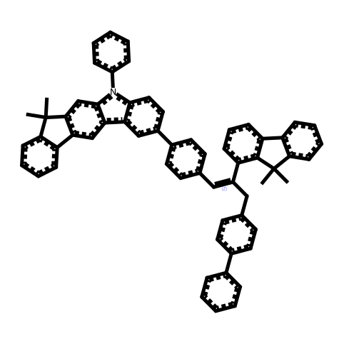 CC1(C)c2ccccc2-c2cc3c4cc(-c5ccc(/C=C(/Cc6ccc(-c7ccccc7)cc6)c6cccc7c6C(C)(C)c6ccccc6-7)cc5)ccc4n(-c4ccccc4)c3cc21